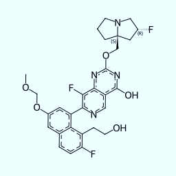 COCOc1cc(-c2ncc3c(O)nc(OC[C@@]45CCCN4C[C@H](F)C5)nc3c2F)c2c(CCO)c(F)ccc2c1